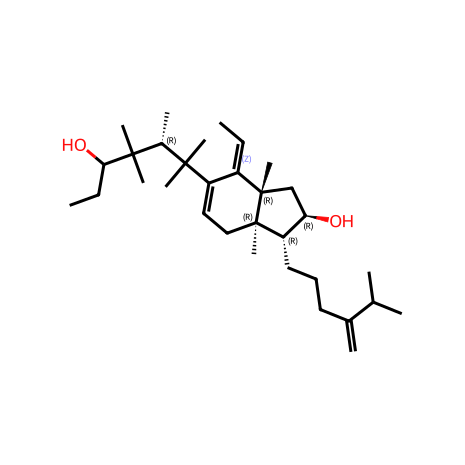 C=C(CCC[C@H]1[C@H](O)C[C@@]2(C)/C(=C/C)C(C(C)(C)[C@@H](C)C(C)(C)C(O)CC)=CC[C@]12C)C(C)C